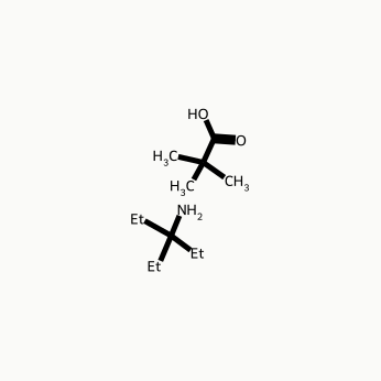 CC(C)(C)C(=O)O.CCC(N)(CC)CC